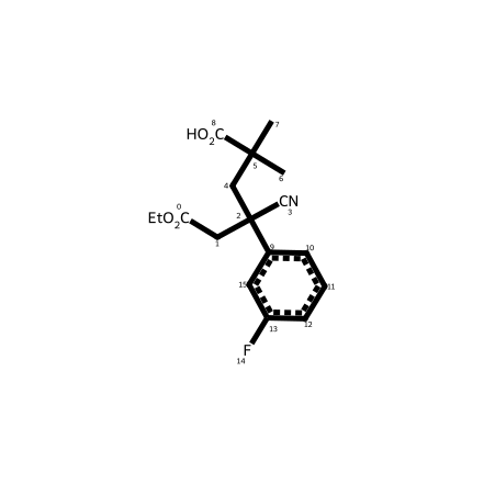 CCOC(=O)CC(C#N)(CC(C)(C)C(=O)O)c1cccc(F)c1